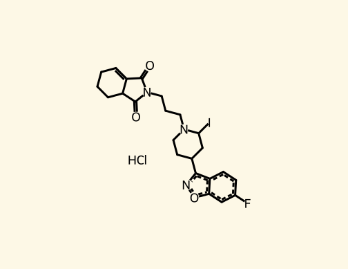 Cl.O=C1C2=CCCCC2C(=O)N1CCCN1CCC(c2noc3cc(F)ccc23)CC1I